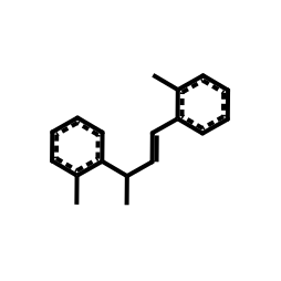 Cc1ccccc1C=CC(C)c1ccccc1C